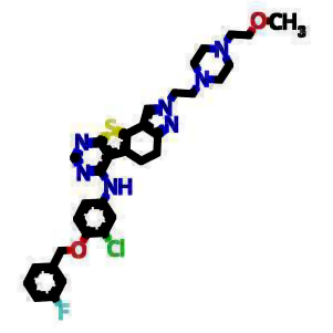 COCCN1CCN(CCn2cc3c(n2)CCc2c-3sc3ncnc(Nc4ccc(OCc5cccc(F)c5)c(Cl)c4)c23)CC1